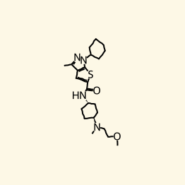 COCCN(C)[C@H]1CC[C@H](NC(=O)c2cc3c(C)nn(C4CCCCC4)c3s2)CC1